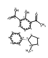 CC(=O)c1cccc(C(=O)O)c1O.CN1CCC[C@H]1c1cccnc1